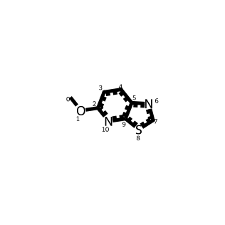 COc1ccc2ncsc2n1